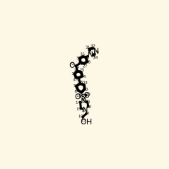 O=C(c1ccc(-c2ccc(S(=O)(=O)N3CCN(CCO)CC3)cc2)cc1)c1ccc(-n2ccnc2)cc1